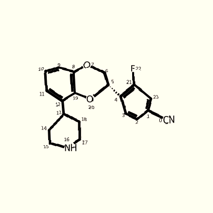 N#Cc1ccc([C@H]2COc3cccc(C4CCNCC4)c3O2)c(F)c1